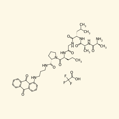 CCC[C@H](NC(=O)CNC(=O)[C@H](CC(C)C)NC(=O)[C@H](C)NC(=O)[C@H](C)N)C(=O)N1CCC[C@H]1C(=O)NCCCNc1cccc2c1C(=O)c1ccccc1C2=O.O=C(O)C(F)(F)F